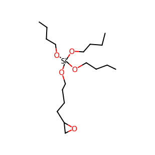 CCCCO[Si](OCCCC)(OCCCC)OCCCCC1CO1